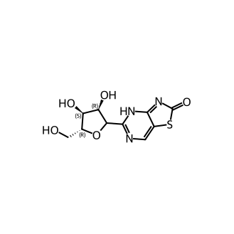 O=c1nc2[nH]c(C3O[C@H](CO)[C@@H](O)[C@H]3O)ncc-2s1